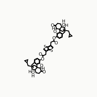 O=C(Cc1csc2c(CC(=O)Oc3ccc4c5c3O[C@H]3C(=O)CC[C@@]6(O)[C@@H](C4)N(CC4CC4)CCC536)csc12)Oc1ccc2c3c1O[C@H]1C(=O)CC[C@@]4(O)[C@@H](C2)N(CC2CC2)CCC314